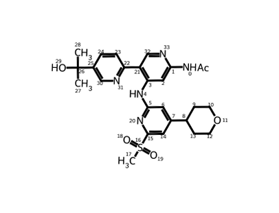 CC(=O)Nc1cc(Nc2cc(C3CCOCC3)cc(S(C)(=O)=O)n2)c(-c2ccc(C(C)(C)O)cn2)cn1